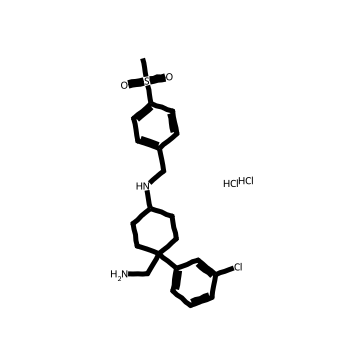 CS(=O)(=O)c1ccc(CNC2CCC(CN)(c3cccc(Cl)c3)CC2)cc1.Cl.Cl